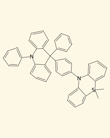 C[Si]1(C)c2ccccc2N(c2ccc(C3(c4ccccc4)c4ccccc4N(c4ccccc4)c4ccccc43)cc2)c2ccccc21